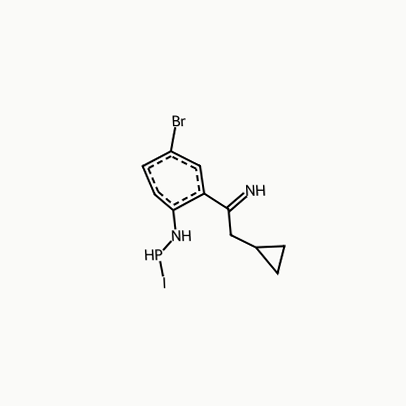 N=C(CC1CC1)c1cc(Br)ccc1NPI